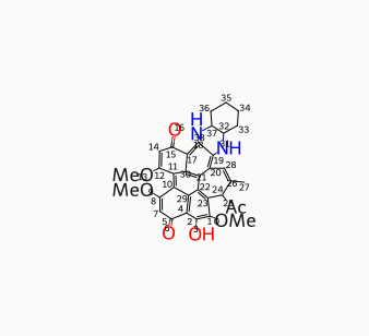 COc1c(O)c2c(=O)cc(OC)c3c4c(OC)cc(=O)c5c6c(c7c(c(c1C(C(C)=O)C(C)=C7)c23)c54)NC1CCCCC1N6